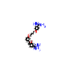 N=C(N)c1ccc(OCCCCOc2cccc(-c3cc4ccc(C(=N)N)cc4o3)c2)cc1